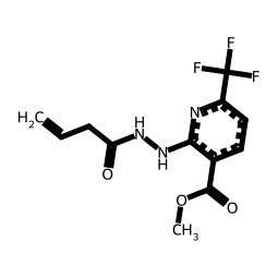 C=CCC(=O)NNc1nc(C(F)(F)F)ccc1C(=O)OC